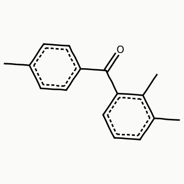 Cc1ccc(C(=O)c2cccc(C)c2C)cc1